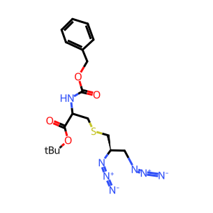 CC(C)(C)OC(=O)C(CSC[C@@H](CN=[N+]=[N-])N=[N+]=[N-])NC(=O)OCc1ccccc1